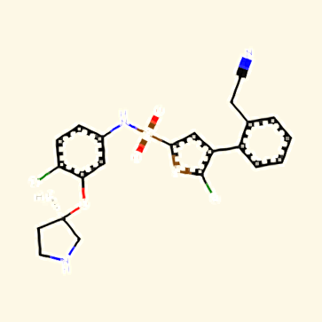 C[C@@]1(Oc2cc(NS(=O)(=O)c3cc(-c4ccccc4CC#N)c(Cl)s3)ccc2Cl)CCNC1